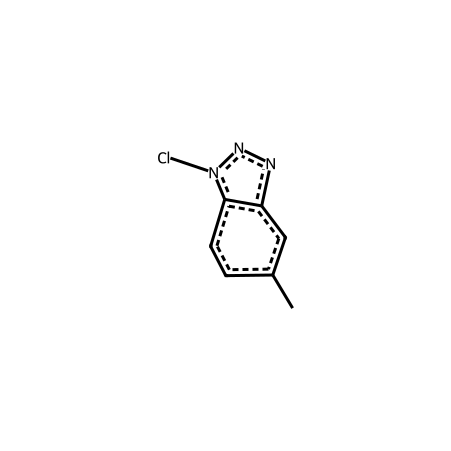 Cc1ccc2c(c1)nnn2Cl